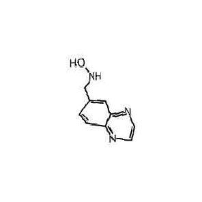 ONCc1ccc2nccnc2c1